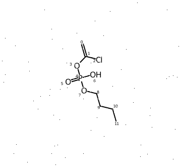 C=C(Cl)OP(=O)(O)OCCCC